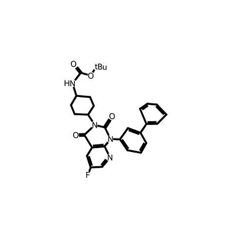 CC(C)(C)OC(=O)NC1CCC(n2c(=O)c3cc(F)cnc3n(-c3cccc(-c4ccccc4)c3)c2=O)CC1